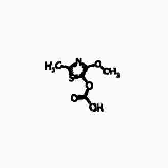 COc1nc(C)sc1OC(=O)O